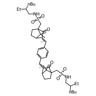 CCCCC(CC)CNS(=O)(=O)CC12CCC(/C(=C/c3ccc(/C=C4/C(=O)C5(CS(=O)(=O)NCC(CC)CCCC)CCC4C5(C)C)cc3)C1=O)C2(C)C